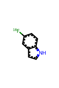 [18F]c1ccc2[nH]ccc2c1